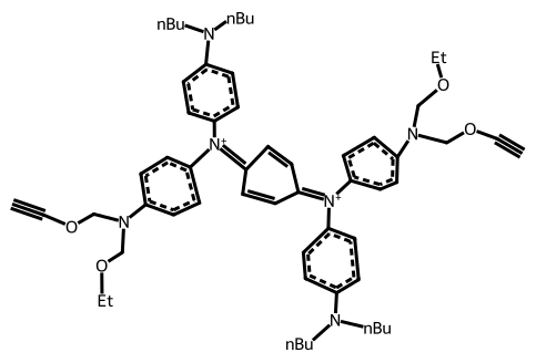 C#COCN(COCC)c1ccc([N+](=C2C=CC(=[N+](c3ccc(N(CCCC)CCCC)cc3)c3ccc(N(COC#C)COCC)cc3)C=C2)c2ccc(N(CCCC)CCCC)cc2)cc1